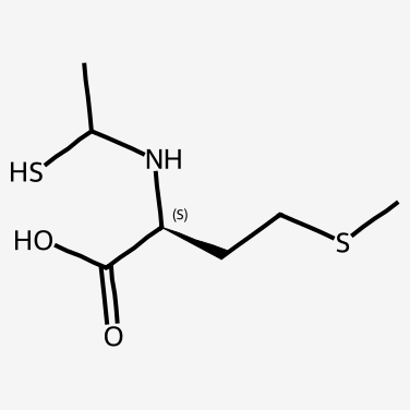 CSCC[C@H](NC(C)S)C(=O)O